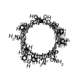 CCCC[C@H]1C(=O)N2C[C@H](O)C[C@@H]2C(=O)N[C@@H](CC(O)=P)C(=O)N[C@@H](C(C)C)C(=O)N(C)[C@@H](Cc2ccccc2)C(=O)N[C@@H](CCCN)C(=O)N2CCOC[C@@H]2C(=O)N[C@@H](Cc2c[nH]c3ccccc23)C(=O)N[C@@H](Cc2ccc(O)cc2)C(=O)N[C@@H](CCCN)C(=O)N[C@H](C(=O)NCC(N)=O)CSCC(=O)N[C@@H](Cc2cc(F)c(F)c(F)c2)C(=O)N(C)[C@@H](Cc2ccccc2)C(=O)N1C